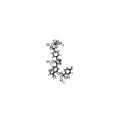 Cc1c(-c2cc(OCC(C)(O)c3ccc(F)cn3)c3c(Cl)cnn3c2)nnn1C1CCN(C(=O)OC(C)(C)C)CC1